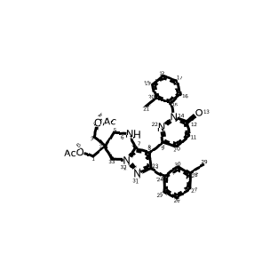 CC(=O)OCC1(COC(C)=O)CNc2c(-c3ccc(=O)n(-c4ccccc4C)n3)c(-c3cccc(C)c3)nn2C1